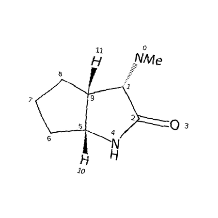 CN[C@@H]1C(=O)N[C@@H]2CCC[C@H]12